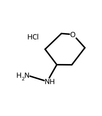 Cl.NNC1CCOCC1